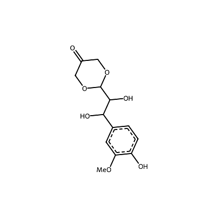 COc1cc(C(O)C(O)C2OCC(=O)CO2)ccc1O